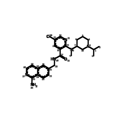 CC(C)N1CCCC(N(C)c2ncc(Cl)cc2C(=O)NCc2ccc3c(N)nccc3c2)C1